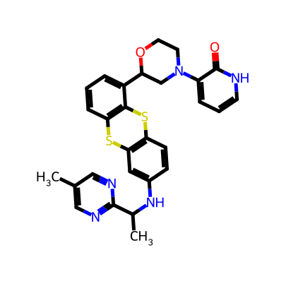 Cc1cnc(C(C)Nc2ccc3c(c2)Sc2cccc(C4CN(c5ccc[nH]c5=O)CCO4)c2S3)nc1